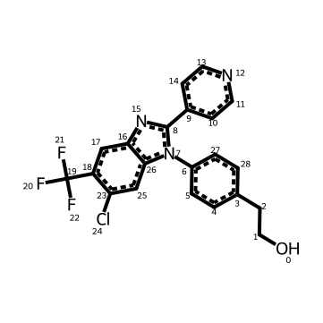 OCCc1ccc(-n2c(-c3ccncc3)nc3cc(C(F)(F)F)c(Cl)cc32)cc1